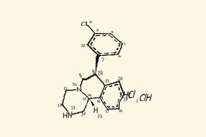 Cl.Cl.Clc1cccc([C@@H]2CN3CCNC[C@H]3c3ccccc32)c1